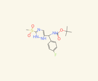 CC(C)(C)OC(=O)NC(C1=CN=C(S(C)(=O)=O)NN1)c1ccc(F)cc1